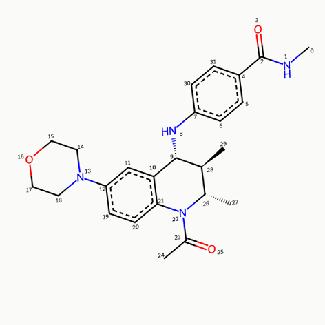 CNC(=O)c1ccc(N[C@H]2c3cc(N4CCOCC4)ccc3N(C(C)=O)[C@@H](C)[C@@H]2C)cc1